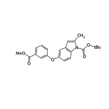 COC(=O)c1cccc(Oc2ccc3c(c2)cc(C)n3C(=O)OC(C)(C)C)c1